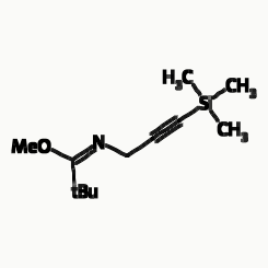 COC(=NCC#C[Si](C)(C)C)C(C)(C)C